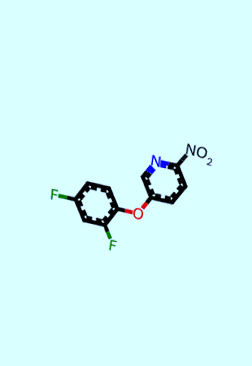 O=[N+]([O-])c1ccc(Oc2ccc(F)cc2F)cn1